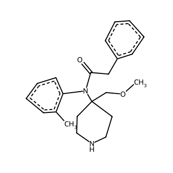 COCC1(N(C(=O)Cc2ccccc2)c2ccccc2C)CCNCC1